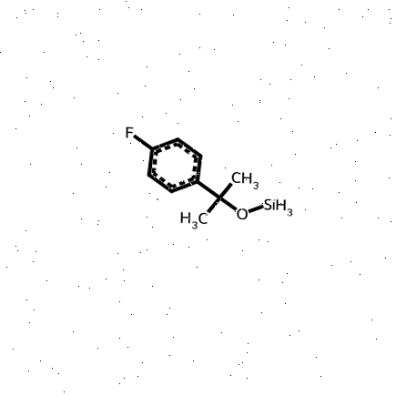 CC(C)(O[SiH3])c1ccc(F)cc1